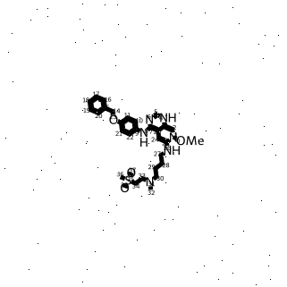 CON1C=C2NC=NC(Nc3ccc(OCc4ccccc4)cc3)=C2C=C1NCCCCN(C)CCS(C)(=O)=O